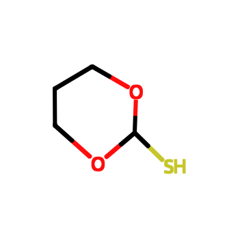 SC1OCCCO1